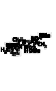 CNCCN(C)c1cc(OC)c(Nc2ncc(Cl)c(Nc3ccccc3P(C)(C)=O)n2)cc1N=O